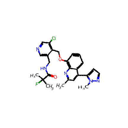 Cc1cc(-c2ccnn2C)c2cccc(OCc3c(Cl)cncc3CNC(=O)C(C)(C)F)c2n1